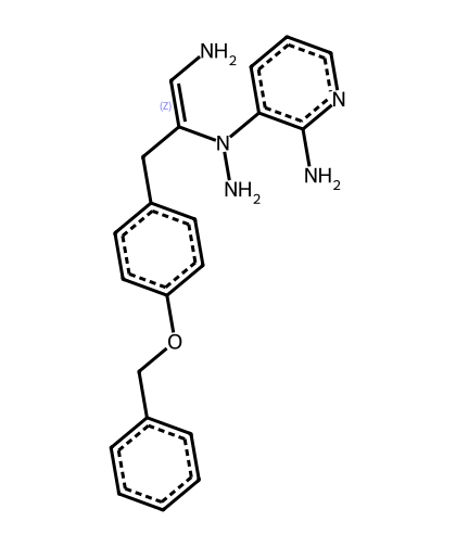 N/C=C(/Cc1ccc(OCc2ccccc2)cc1)N(N)c1cccnc1N